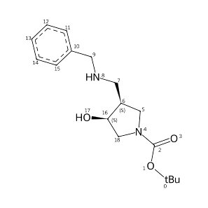 CC(C)(C)OC(=O)N1C[C@H](CNCc2ccccc2)[C@H](O)C1